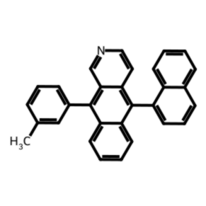 Cc1cccc(-c2c3ccccc3c(-c3cccc4ccccc34)c3ccncc23)c1